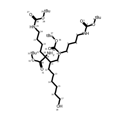 CC(C)(C)OC(=O)NCCCCN(CC(CCCCCCO)C(N)(CCCCNC(=O)OC(C)(C)C)C(=O)OC(C)(C)C)C(=O)OC(C)(C)C